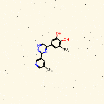 O=[N+]([O-])c1cc(-c2cnnc(-c3cncc(C(F)(F)F)c3)n2)cc(O)c1O